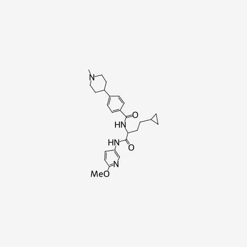 COc1ccc(NC(=O)C(CCC2CC2)NC(=O)c2ccc(C3CCN(C)CC3)cc2)cn1